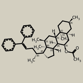 CC(=O)O[C@@H]1C[C@@H]2C[C@H](C)CC[C@]2(C)[C@H]2C[C@H](C)[C@]3(C)[C@@H]([C@H](C)CC=C(c4ccccc4)c4ccccc4)CC[C@H]3[C@H]12